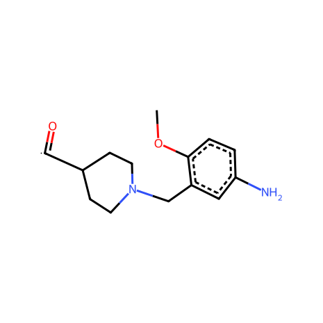 COc1ccc(N)cc1CN1CCC([C]=O)CC1